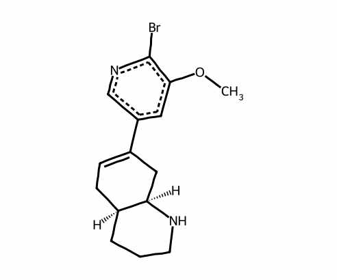 COc1cc(C2=CC[C@@H]3CCCN[C@@H]3C2)cnc1Br